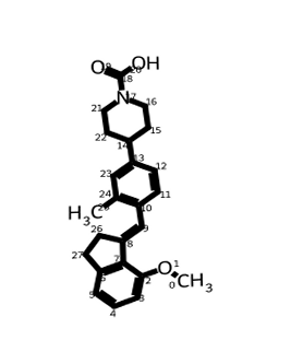 COc1cccc2c1C(=Cc1ccc(C3CCN(C(=O)O)CC3)cc1C)CC2